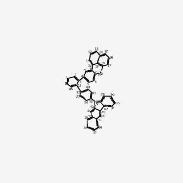 c1ccc(-c2ccc3c(c2)-c2cccc4cccc(c24)S3)c(-c2ccc(-n3c4ccccc4c4cc5ccccc5cc43)cc2)c1